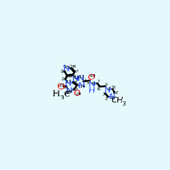 CN1CCN(CCCNC(=O)c2nnc3c(n2)c(=O)n(C)c(=O)n3Cc2cccnc2)CC1